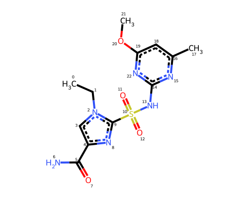 CCn1cc(C(N)=O)nc1S(=O)(=O)Nc1nc(C)cc(OC)n1